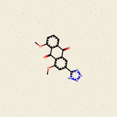 COc1cccc2c1C(=O)c1c(OC)cc(-c3nnn[nH]3)cc1C2=O